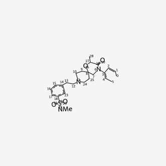 C/C=C\C(=C/C)N1CC2(CCN(CCc3cccc(S(=O)(=O)NC)c3)CC2)OC(C)C1=O